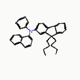 CCCCC1(CCCC)c2ccccc2-c2ccc(N(c3ccccc3)c3cccc4ccccc34)cc21